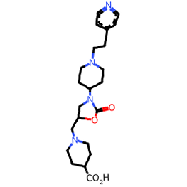 O=C(O)C1CCN(CC2CN(C3CCN(CCc4ccncc4)CC3)C(=O)O2)CC1